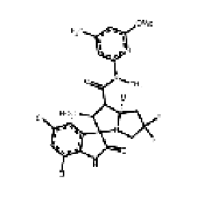 COc1cc(C(F)(F)F)cc(N(C)C(=O)[C@H]2[C@H]3CC(F)(F)CN3[C@]3(C(=O)Nc4c(Cl)cc(Cl)cc43)[C@H]2C(=O)O)n1